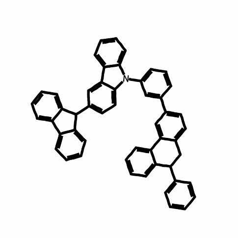 c1ccc(C2Cc3ccc(-c4cccc(-n5c6ccccc6c6cc(C7c8ccccc8-c8ccccc87)ccc65)c4)cc3-c3ccccc32)cc1